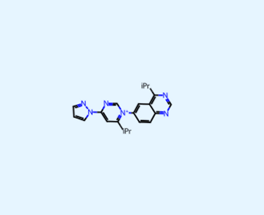 CC(C)c1ncnc2ccc(-[n+]3cnc(-n4cccn4)cc3C(C)C)cc12